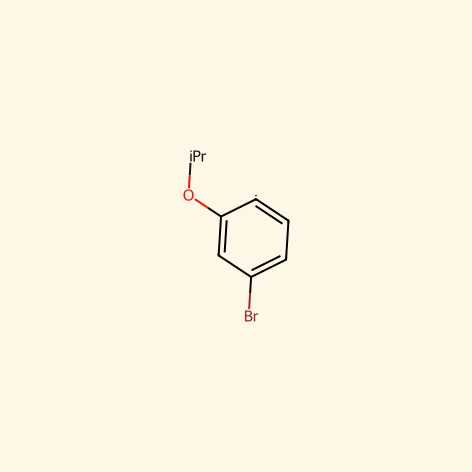 CC(C)Oc1[c]ccc(Br)c1